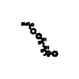 COC(=O)C[C@H]1CC[C@H](c2ccc(NC(=O)CCNC(=O)c3cn(-c4ccccc4)nc3C)cc2)CC1